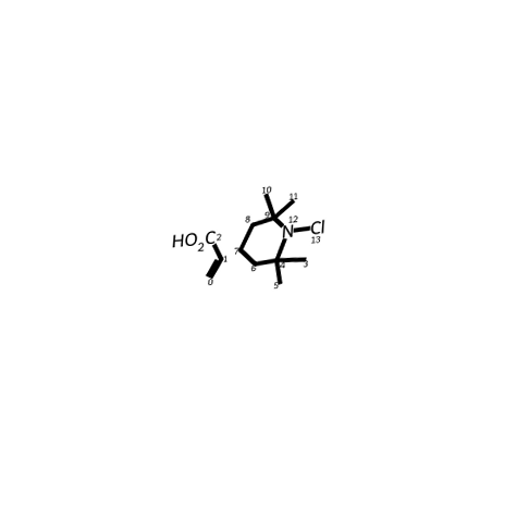 C=CC(=O)O.CC1(C)CCCC(C)(C)N1Cl